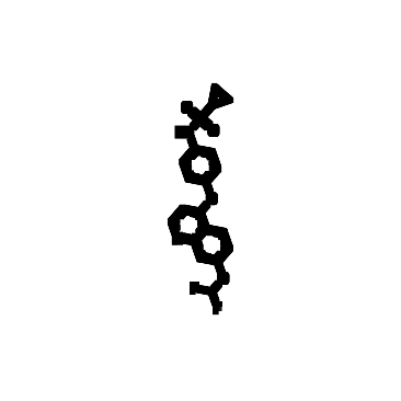 O=S(=O)(Nc1ccc(Oc2ccnc3cc(OC(F)F)ccc23)cc1)C1CC1